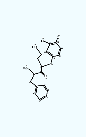 CN(Cc1ccccc1)C(=O)C(CCO)Cc1ccc(Cl)c(Cl)c1